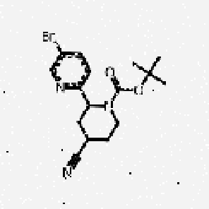 CC(C)(C)OC(=O)N1CCC(C#N)CC1c1ccc(Br)cn1